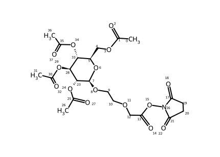 CC(=O)OC[C@H]1O[C@@H](OCCOCC(=O)ON2C(=O)CCC2=O)[C@H](OC(C)=O)[C@@H](OC(C)=O)[C@@H]1OC(C)=O